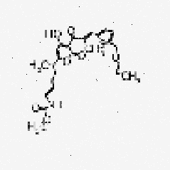 CCCOCc1ccc(/C=C(\C)C(=O)c2c(O)cc(C(C)CC/C=C/NC(=O)OC)oc2=O)s1